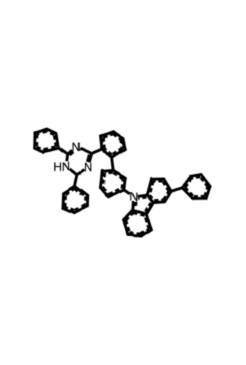 c1ccc(C2=NC(c3ccccc3-c3cccc(-n4c5ccccc5c5cc(-c6ccccc6)ccc54)c3)=NC(c3ccccc3)N2)cc1